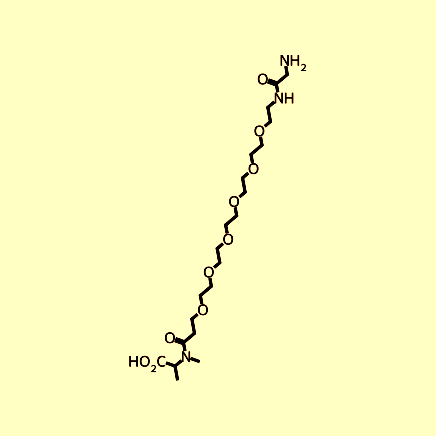 CC(C(=O)O)N(C)C(=O)CCOCCOCCOCCOCCOCCOCCNC(=O)CN